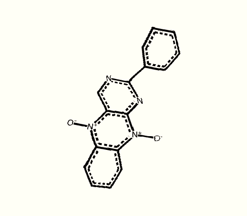 [O-][n+]1c2ccccc2[n+]([O-])c2nc(-c3ccccc3)ncc21